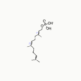 CC(C)=CCC/C(C)=C\CC/C(C)=C/COP(=O)(O)O